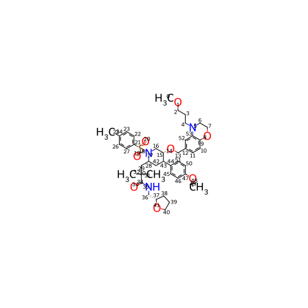 COCCCN1CCOc2ccc(CO[C@H]3CN(S(=O)(=O)c4ccc(C)cc4)C(CC(C)(C)C(=O)NC[C@@H]4CCCO4)CC3c3ccc(OC)cc3)cc21